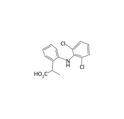 CC(C(=O)O)c1ccccc1Nc1c(Cl)cccc1Cl